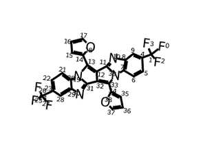 FC(F)(F)c1ccc2c(c1)nc1c3c(-c4ccco4)n4c5ccc(C(F)(F)F)cc5nc4c3c(-c3ccco3)n21